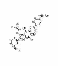 CC(=O)Nc1ccc(C(=O)Cn2c(=O)c3c(nc(N4CCCC(N)C4)n3CC=C(C)C)n(C)c2=O)cc1